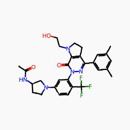 CC(=O)NC1CCN(c2ccc(C(F)(F)F)c(-n3nc(-c4cc(C)cc(C)c4)c4c(c3=O)N(CCO)CC4)c2)C1